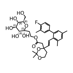 Cc1cc(C)c(C=CC2(CC(=O)OCC[C@]3(O)O[C@H](CO)[C@H](O)[C@H](O)[C@H]3O)CCOC(C)(C)O2)c(-c2ccc(F)c(C)c2)c1